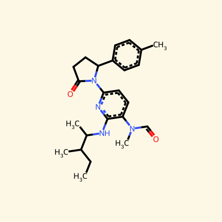 CCC(C)C(C)Nc1nc(N2C(=O)CCC2c2ccc(C)cc2)ccc1N(C)C=O